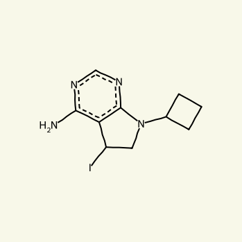 Nc1ncnc2c1C(I)CN2C1CCC1